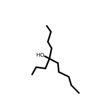 CCCCCC(O)(CCC)CCCC